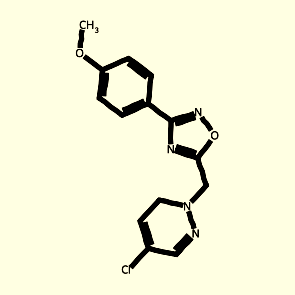 COc1ccc(-c2noc(CN3CC=C(Cl)C=N3)n2)cc1